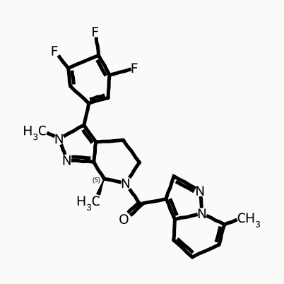 Cc1cccc2c(C(=O)N3CCc4c(nn(C)c4-c4cc(F)c(F)c(F)c4)[C@@H]3C)cnn12